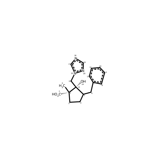 C[C@]1(C(=O)O)CCC(Cc2ccccc2)[C@]1(O)Cn1cncn1